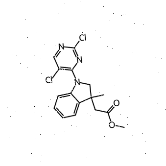 COC(=O)CC1(C)CN(c2nc(Cl)ncc2Cl)c2ccccc21